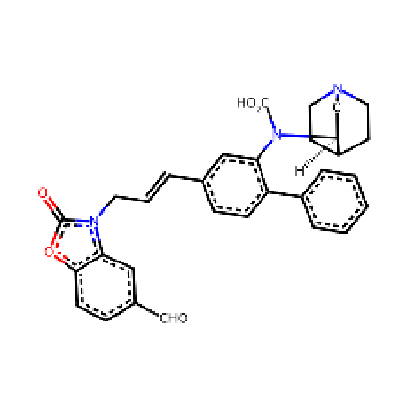 O=Cc1ccc2oc(=O)n(C/C=C/c3ccc(-c4ccccc4)c(N(C(=O)O)[C@H]4CN5CCC4CC5)c3)c2c1